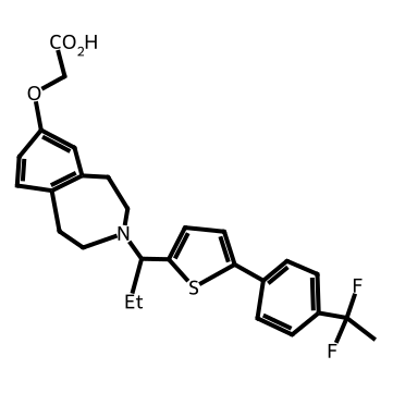 CCC(c1ccc(-c2ccc(C(C)(F)F)cc2)s1)N1CCc2ccc(OCC(=O)O)cc2CC1